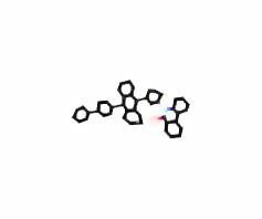 O=c1c2ccccc2c2ccccc2n1-c1cccc(-c2c3ccccc3c(-c3ccc(-c4ccccc4)cc3)c3ccccc23)c1